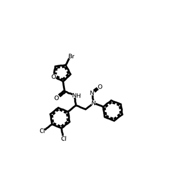 O=NN(CC(NC(=O)c1cc(Br)co1)c1ccc(Cl)c(Cl)c1)c1ccccc1